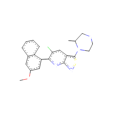 COc1cc(-c2nc3nsc(N4CCNCC4C)c3cc2Cl)c2ccccc2c1